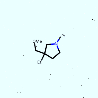 CCC1(COC)CCN(C(C)C)C1